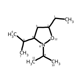 CCC1CC(C(C)C)N(C(C)C)O1